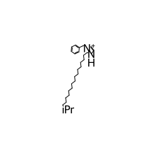 CC(C)CCCCCCCCCCCCCCCc1[nH]cc[n+]1Cc1ccccc1